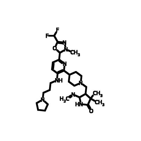 C=NC1NC(=O)C(C)(C)C1CN1CCC(c2nc(C3OC(C(F)F)=NN3C)ccc2NCCCN2CCCC2)CC1